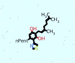 CCCCCc1cc(O)c(CC=C(C)CCC=C(C)C)c(O)c1-c1cscn1